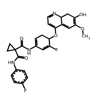 COC1=C(O)CC2N=CC=C(OC3CC=C(NC(=O)C4(C(=O)Nc5ccc(F)cc5)CC4)C=C3F)C2=C1